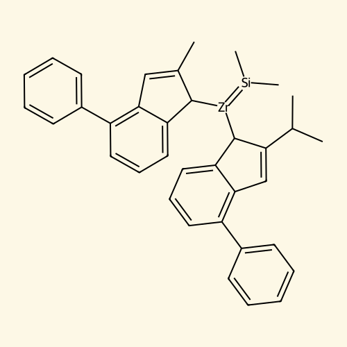 CC1=Cc2c(-c3ccccc3)cccc2[CH]1[Zr]([CH]1C(C(C)C)=Cc2c(-c3ccccc3)cccc21)=[Si](C)C